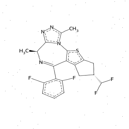 Cc1nnc2n1-c1sc3c(c1C(c1c(F)cccc1F)=N[C@H]2C)C[C@@H](C(F)F)C3